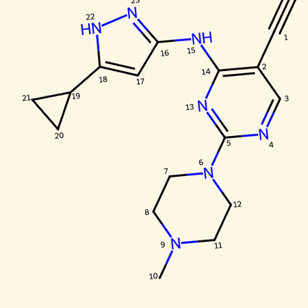 C#Cc1cnc(N2CCN(C)CC2)nc1Nc1cc(C2CC2)[nH]n1